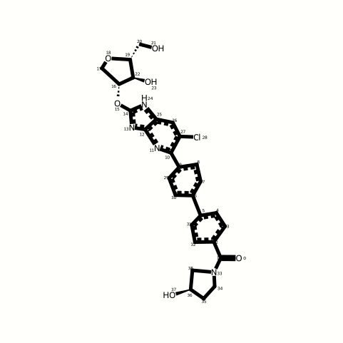 O=C(c1ccc(-c2ccc(-c3nc4nc(O[C@@H]5CO[C@H](CO)[C@H]5O)[nH]c4cc3Cl)cc2)cc1)N1CC[C@@H](O)C1